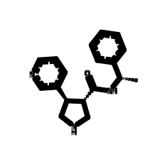 C[C@H](NC(=O)[C@@H]1CNC[C@H]1c1cccnc1)c1ccccc1